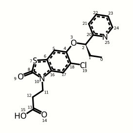 CC[C@@H](Oc1cc2sc(=O)n(CCC(=O)O)c2cc1Cl)c1ccccn1